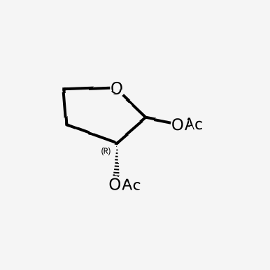 CC(=O)OC1OCC[C@H]1OC(C)=O